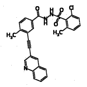 Cc1ccc(C(=O)NNS(=O)(=O)c2c(C)cccc2Cl)cc1C#Cc1cnc2ccccc2c1